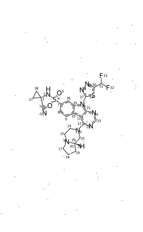 N#CC1(NS(=O)(=O)c2ccc3c4c(N5CCN6CCC[C@H]6C5)ncnc4n(-c4nnc(C(F)F)s4)c3c2)CC1